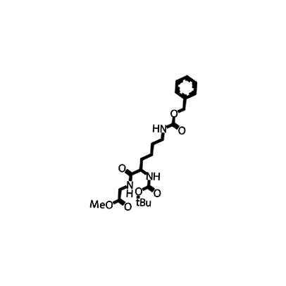 COC(=O)CNC(=O)C(CCCCNC(=O)OCc1ccccc1)NC(=O)OC(C)(C)C